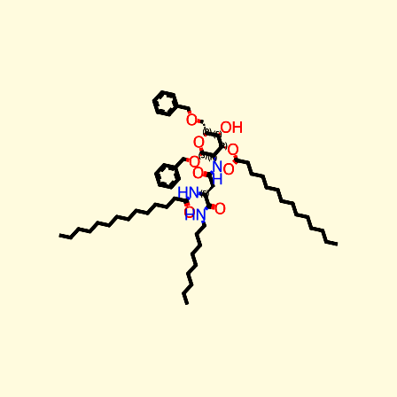 CCCCCCCCCCCCCC(=O)N[C@@H](CC(=O)N[C@H]1[C@@H](OCc2ccccc2)O[C@H](COCc2ccccc2)[C@@H](O)[C@@H]1OC(=O)CCCCCCCCCCCCC)C(=O)NCCCCCCCCC